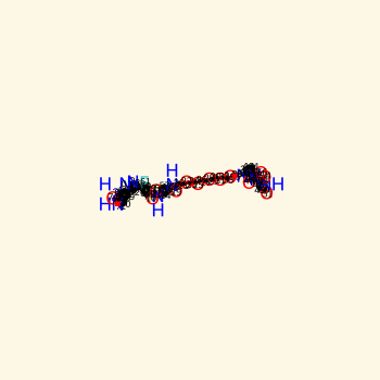 Nc1ncc(-c2ccc(S(=O)(=O)Nc3ccc(NC(=O)CCOCCOCCOCCOCCOCCNc4cccc5c4C(=O)N(C4CCC(=O)NC4=O)C5=O)cc3)cc2F)cc1-c1ccc2c(c1)CCNC2=O